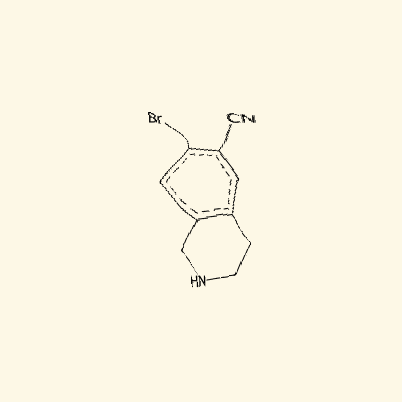 N#Cc1cc2c(cc1Br)CNCC2